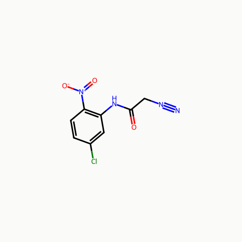 N#[N+]CC(=O)Nc1cc(Cl)ccc1[N+](=O)[O-]